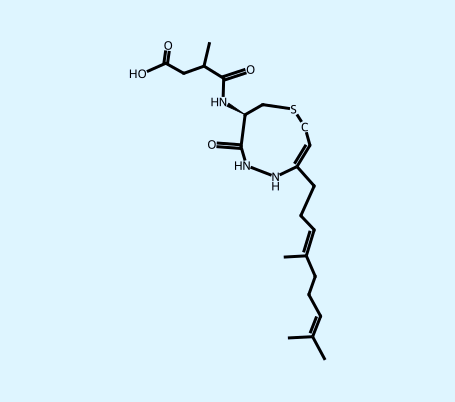 CC(C)=CCC/C(C)=C/CC/C1=C/CSC[C@H](NC(=O)C(C)CC(=O)O)C(=O)NN1